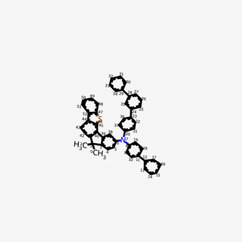 CC1(C)c2ccc(N(c3ccc(-c4ccccc4)cc3)c3ccc(-c4cccc(-c5ccccc5)c4)cc3)cc2-c2c1ccc1c2sc2ccc#cc21